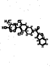 C[C@H](NC(=O)c1c(Cl)cc2c(c1Cl)CCN(C(=O)c1cc3ccccc3o1)C2)C(=O)O